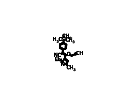 C#CCO/C(=C(/C#N)c1ccc([Si](C)(C)C)cc1)c1cc(C)nn1CC